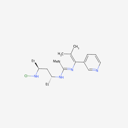 CC[C@@H](C[C@@H](CC)N/C(=N/C(=C(C)C)c1cccnc1)NC)NCl